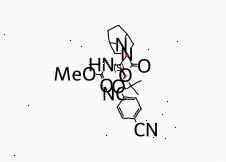 COC(=O)N[C@H](COc1ccc(C#N)cc1)CN1C2CCC1CN(C(=O)OC(C)(C)C#N)C2